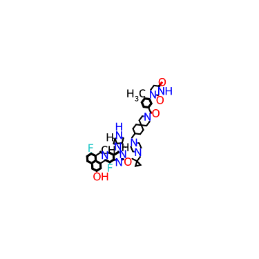 C#Cc1c(F)ccc2cc(O)cc(-c3ncc4c(N5C[C@@H]6C[C@H]5CN6)nc(OCC5(CN6CCN(CC7CCC8(CC7)CCN(C(=O)c7ccc(C)c(N9CCC(=O)NC9=O)c7)CC8)CC6)CC5)nc4c3F)c12